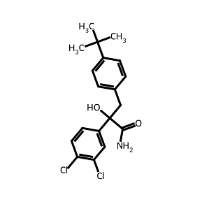 CC(C)(C)c1ccc(CC(O)(C(N)=O)c2ccc(Cl)c(Cl)c2)cc1